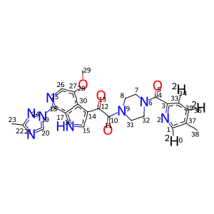 [2H]c1nc(C(=O)N2CCN(C(=O)C(=O)c3c[nH]c4c(-n5cnc(C)n5)ncc(OC)c34)CC2)c([2H])c([2H])c1C